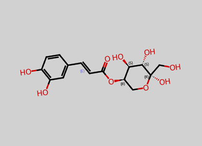 O=C(/C=C/c1ccc(O)c(O)c1)O[C@@H]1CO[C@](O)(CO)[C@@H](O)[C@@H]1O